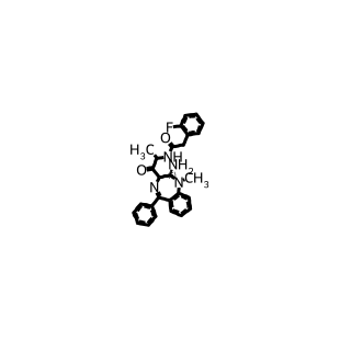 CC(NC(=O)Cc1ccccc1F)C(=O)C1N=C(c2ccccc2)c2ccccc2N(C)[C@@H]1N